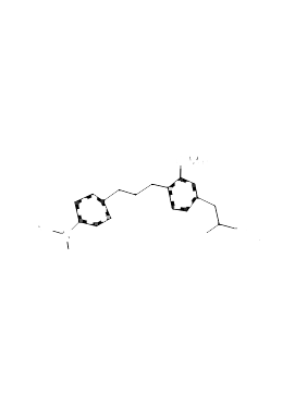 COc1cc(CC(C)C(=O)O)ccc1CCCc1ccc(N(C)C(C)=O)cc1